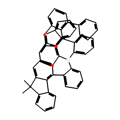 CC1(C)c2ccccc2-c2c(-c3ccccc3N(c3ccccc3-c3cccc4cccc(-c5ccccc5)c34)c3cccc4sc5ccccc5c34)cccc21